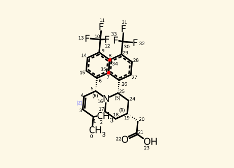 CC(C)/C=C\[C@H](c1ccc(C(F)(F)F)cc1)N1CC[C@@H](CC(=O)O)C[C@H]1c1ccc(C(F)(F)F)cc1